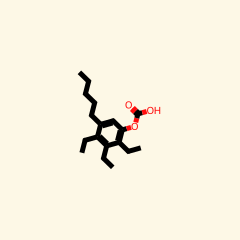 CCCCCc1cc(OC(=O)O)c(CC)c(CC)c1CC